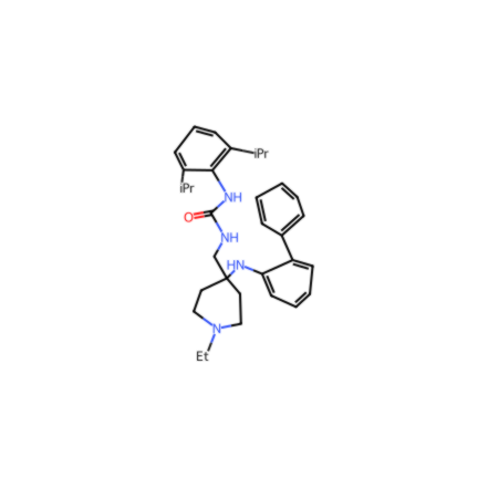 CCN1CCC(CNC(=O)Nc2c(C(C)C)cccc2C(C)C)(Nc2ccccc2-c2ccccc2)CC1